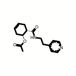 CC(=O)O[C@@H]1CC=CC[C@@H]1C(=O)NCCc1ccncc1